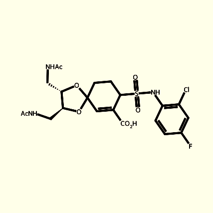 CC(=O)NC[C@@H]1OC2(C=C(C(=O)O)C(S(=O)(=O)Nc3ccc(F)cc3Cl)CC2)O[C@H]1CNC(C)=O